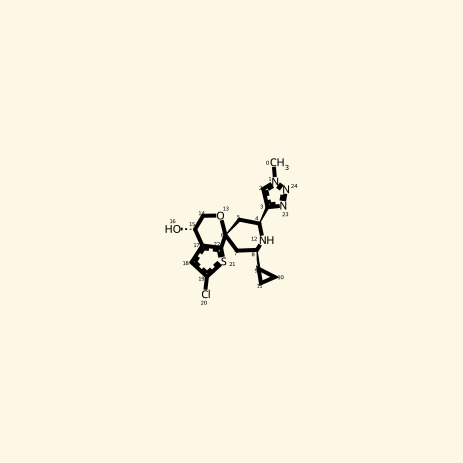 Cn1cc([C@@H]2C[C@]3(C[C@H](C4CC4)N2)OC[C@@H](O)c2cc(Cl)sc23)nn1